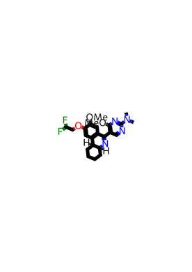 COc1cc2c(cc1OCC(F)F)[C@H]1CCCC[C@H]1N=C2c1cnc(N(C)C)nc1OC